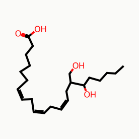 CCCCCC(O)C(CO)C/C=C\C/C=C\C/C=C\CCCCCC(=O)O